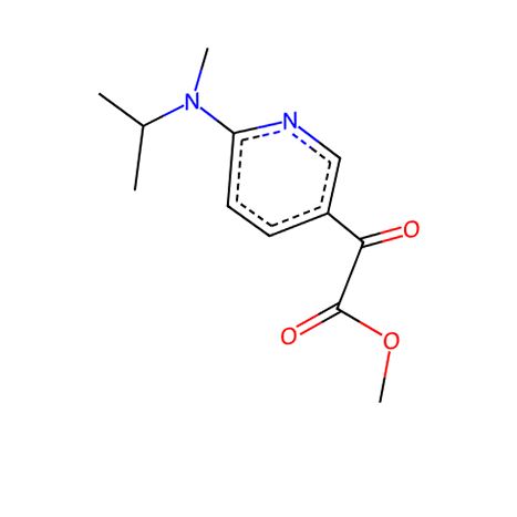 COC(=O)C(=O)c1ccc(N(C)C(C)C)nc1